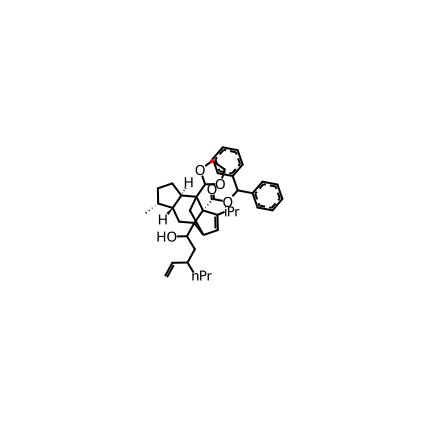 C=CC(CCC)CC(O)C12C[C@@H]3[C@H](C)CC[C@H]3C3(C4OCCO4)CC1C=C(C(C)C)[C@@]23C(=O)OC(c1ccccc1)c1ccccc1